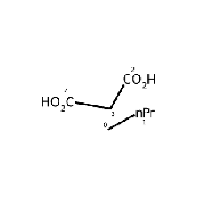 CCCC.O=C(O)CC(=O)O